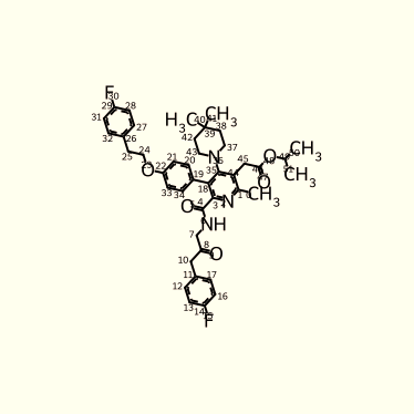 Cc1nc(C(=O)NCC(=O)Cc2ccc(F)cc2)c(-c2ccc(OCCc3ccc(F)cc3)cc2)c(N2CCC(C)(C)CC2)c1CC(=O)OC(C)C